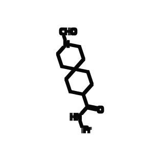 CC(C)NC(=O)C1CCC2(CC1)CCN(C=O)CC2